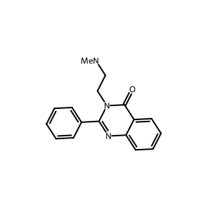 CNCCn1c(-c2ccccc2)nc2ccccc2c1=O